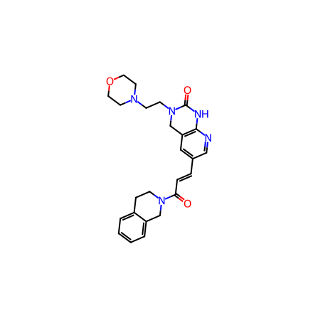 O=C(C=Cc1cnc2c(c1)CN(CCN1CCOCC1)C(=O)N2)N1CCc2ccccc2C1